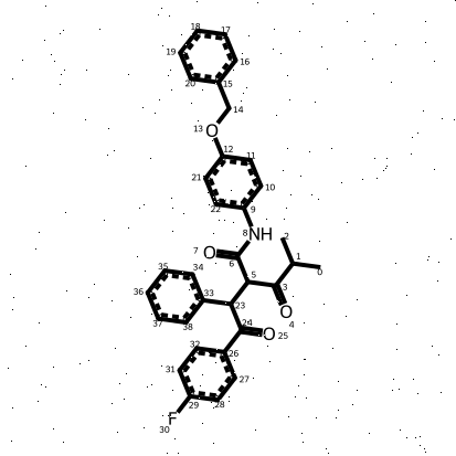 CC(C)C(=O)C(C(=O)Nc1ccc(OCc2ccccc2)cc1)C(C(=O)c1ccc(F)cc1)c1ccccc1